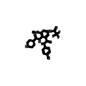 COc1cccc(C(=O)Nc2ccc(Cl)cn2)c1NC(=O)C1CCNCC1.O=C(O)C(F)(F)F